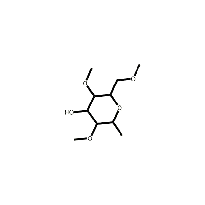 COCC1OC(C)C(OC)C(O)C1OC